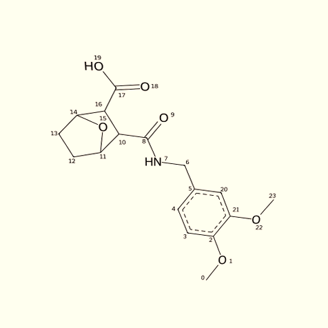 COc1ccc(CNC(=O)C2C3CCC(O3)C2C(=O)O)cc1OC